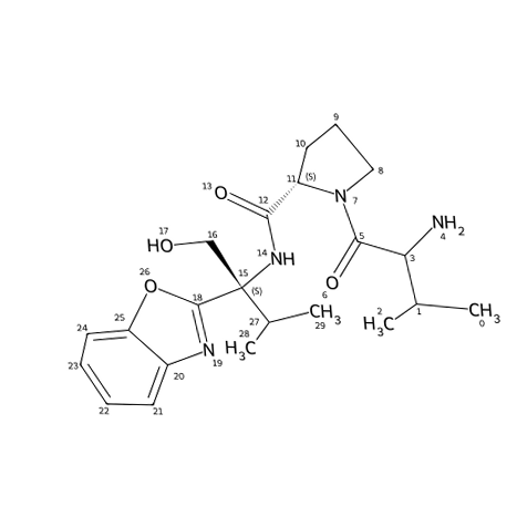 CC(C)C(N)C(=O)N1CCC[C@H]1C(=O)N[C@@](CO)(c1nc2ccccc2o1)C(C)C